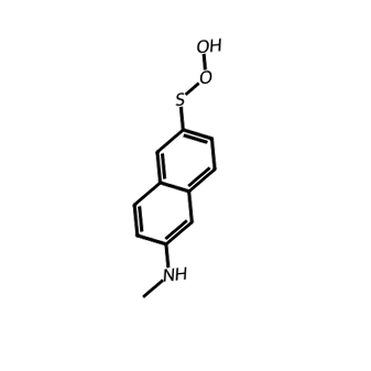 CNc1ccc2cc(SOO)ccc2c1